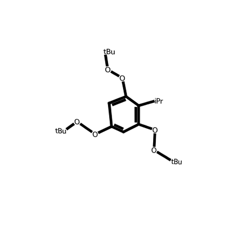 CC(C)c1c(OOC(C)(C)C)cc(OOC(C)(C)C)cc1OOC(C)(C)C